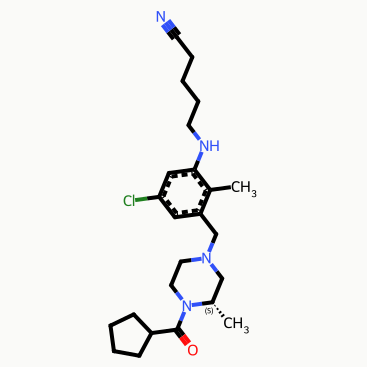 Cc1c(CN2CCN(C(=O)C3CCCC3)[C@@H](C)C2)cc(Cl)cc1NCCCCC#N